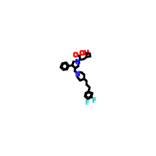 O=C(O)C(CC1CCC1)N1CC(CN2CCC(CCCc3ccc(F)c(F)c3)CC2)C(c2ccccc2)C1